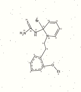 CCOc1ccccc1CCN1C=CC=CC1(Br)NC(N)=S